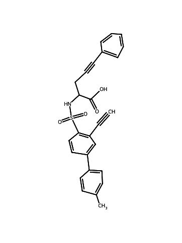 C#Cc1cc(-c2ccc(C)cc2)ccc1S(=O)(=O)NC(CC#Cc1ccccc1)C(=O)O